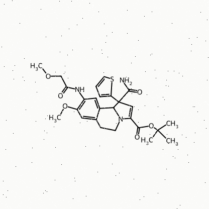 COCC(=O)Nc1cc2c(cc1OC)CCN1C(C(=O)OC(C)(C)C)=CC(C(N)=O)(c3cccs3)C21